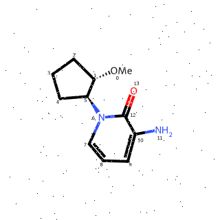 CO[C@H]1CCC[C@@H]1n1cccc(N)c1=O